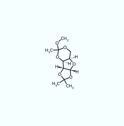 COC1(C)OC[C@H]2O[C@@H]3OC(C)(C)O[C@@H]3[C@H]2O1